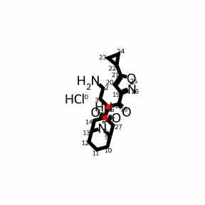 Cl.NCCCS(=O)(=O)N1C2CCCC1CC(NC(=O)c1cc(C3CC3)on1)C2